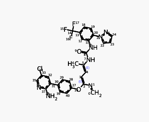 C=N/C(=C\C=C(/C)NC(=O)Nc1cc(C(F)(F)F)ccc1-n1cccn1)Oc1ccc(-c2cc(Cl)cnc2N)cc1